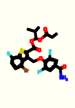 CCC(=O)OC(OC(=O)c1sc2c(F)ccc(Br)c2c1COc1c(F)cc(C(N)=O)cc1F)C(C)C